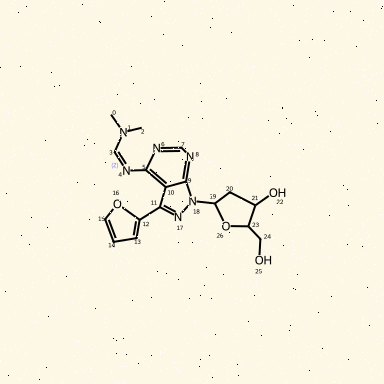 CN(C)/C=N\c1ncnc2c1c(-c1ccco1)nn2C1CC(O)C(CO)O1